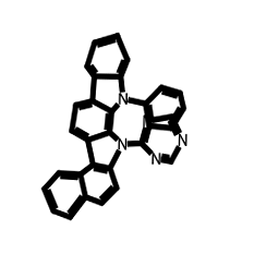 c1ccc(-n2c3ccccc3c3ccc4c5c6ccccc6ccc5n(-c5ncncn5)c4c32)cc1